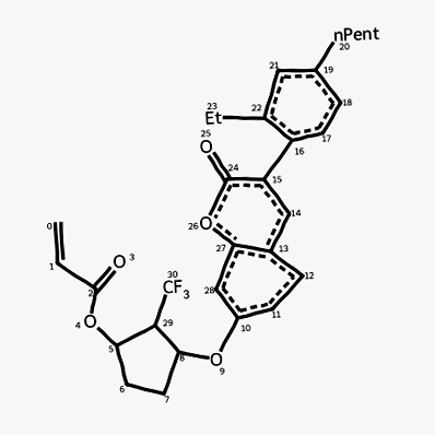 C=CC(=O)OC1CCC(Oc2ccc3cc(-c4ccc(CCCCC)cc4CC)c(=O)oc3c2)C1C(F)(F)F